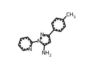 Cc1ccc(-c2cc(N)n(-c3ccccn3)n2)cc1